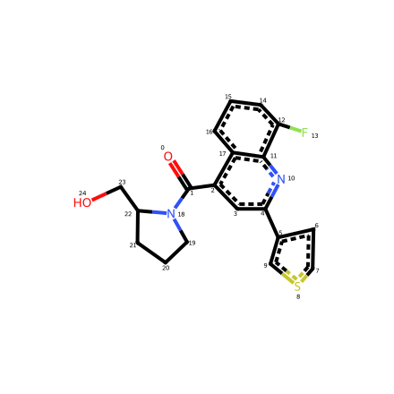 O=C(c1cc(-c2ccsc2)nc2c(F)cccc12)N1CCCC1CO